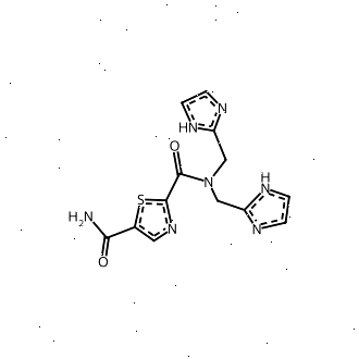 NC(=O)c1cnc(C(=O)N(Cc2ncc[nH]2)Cc2ncc[nH]2)s1